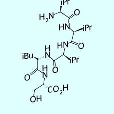 CC[C@H](C)[C@H](NC(=O)[C@@H](NC(=O)[C@@H](NC(=O)[C@@H](N)C(C)C)C(C)C)C(C)C)C(=O)N[C@@H](CO)C(=O)O